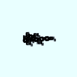 COc1cc(N2CCC(N3CCN(C)CC3)CC2)c(N)cc1Nc1ncc(Cl)c(Nc2cccc(C)c2C)n1